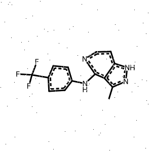 Cc1n[nH]c2ccnc(Nc3ccc(C(F)(F)F)cc3)c12